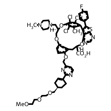 COCCOCCOC[C@H]1CC=C(c2nccc(COc3ccc4cc3C[C@H](C(=O)O)Oc3ncnc5sc(-c6ccc(F)cc6)c(c35)-c3c(C)c(Cl)c(c(Cl)c3C)O[C@H](CN3CCN(C)CC3)CO4)n2)CC1